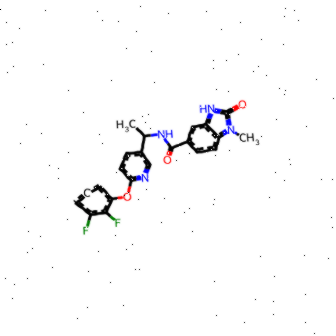 CC(NC(=O)c1ccc2c(c1)[nH]c(=O)n2C)c1ccc(Oc2cccc(F)c2F)nc1